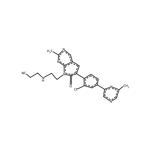 Cc1cncc(-c2ccc(-c3cc4cnc(C)nc4n(CCNCCC#N)c3=O)c(Cl)c2)n1